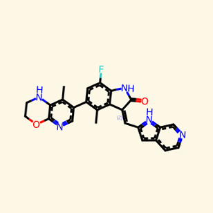 Cc1c(-c2cc(F)c3c(c2C)/C(=C/c2cc4ccncc4[nH]2)C(=O)N3)cnc2c1NCCO2